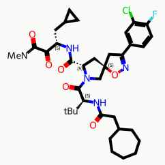 CNC(=O)C(=O)[C@H](CC1CC1)NC(=O)[C@@H]1C[C@]2(CC(c3ccc(F)c(Cl)c3)=NO2)CN1C(=O)[C@@H](NC(=O)CC1CCCCCC1)C(C)(C)C